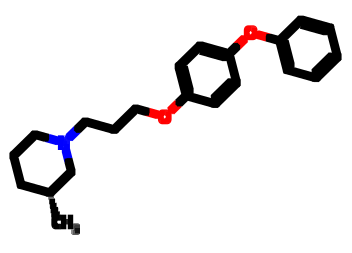 C[C@@H]1CCCN(CCCOc2ccc(Oc3ccccc3)cc2)C1